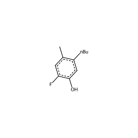 CCCCc1cc(O)c(F)cc1C